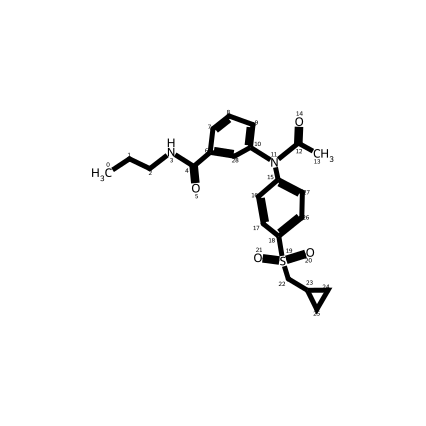 CCCNC(=O)c1cccc(N(C(C)=O)c2ccc(S(=O)(=O)CC3CC3)cc2)c1